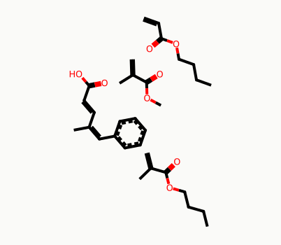 C=C(C)C(=O)OC.C=C(C)C(=O)OCCCC.C=CC(=O)OCCCC.CC(C=CC(=O)O)=Cc1ccccc1